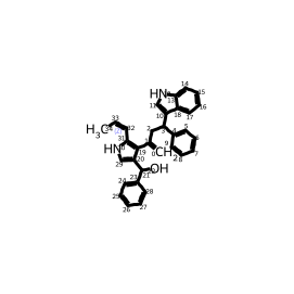 C=C(CC(c1ccccc1)c1c[nH]c2ccccc12)c1c(C(O)c2ccccc2)c[nH]c1/C=C\C